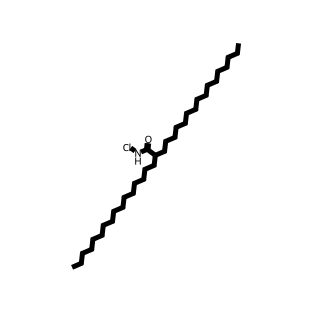 CCCCCCCCCCCCCCCCC(CCCCCCCCCCCCCCCC)C(=O)NCl